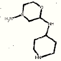 NN1CCOC(NC2CCNCC2)C1